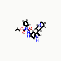 CCCOC(=O)N(C(=O)Nc1ccc2[nH]cc(C3CCN4CCCC4C3)c2c1)c1ccccc1